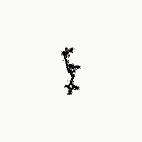 CC(C)(C)CN1CCN(CC(=O)NCCCn2cc(COc3ccc(CN(CCCCCC(=O)NCCCC[C@H](NC(=O)N[C@@H](CCC(=O)OC(C)(C)C)C(=O)OC(C)(C)C)C(=O)OC(C)(C)C)Cc4nccn4CC(=O)N(CC(=O)OC(C)(C)C)CC(=O)OC(C)(C)C)cc3)nn2)CCN(CC(=O)OC(C)(C)C)CCN(CC(=O)OC(C)(C)C)CC1